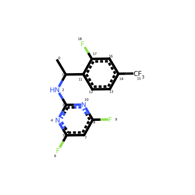 CC(Nc1nc(F)cc(F)n1)c1ccc(C(F)(F)F)cc1F